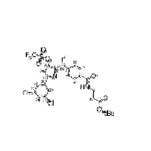 C[C@@H](c1ccc(C(=O)NCCC(=O)OC(C)(C)C)cc1)n1nc(-c2cc(Cl)cc(Cl)c2)cc1OS(=O)(=O)C(F)(F)F